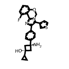 N[C@]1(c2ccc(-c3nc4n(c3-c3ccsc3)COc3cccc(F)c3-4)cc2)C[C@](O)(C2CC2)C1